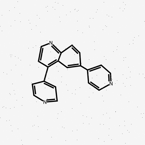 c1cc(-c2ccc3nccc(-c4ccncc4)c3c2)ccn1